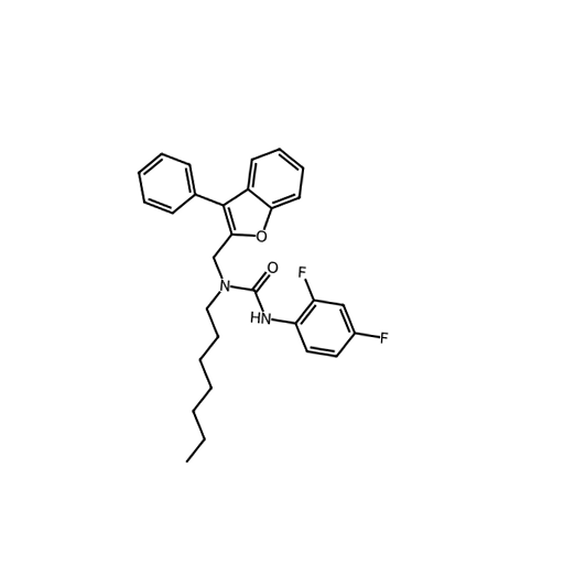 CCCCCCCN(Cc1oc2ccccc2c1-c1ccccc1)C(=O)Nc1ccc(F)cc1F